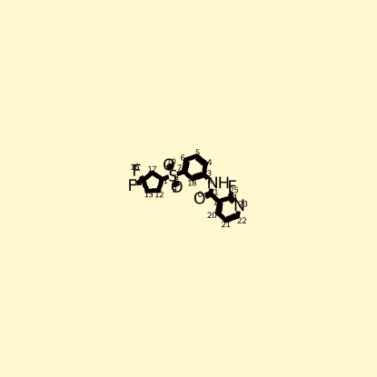 O=C(Nc1cccc(S(=O)(=O)C2CCC(F)(F)C2)c1)c1cccnc1F